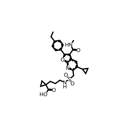 CCc1ccc(-c2oc3nc(CS(=O)(=O)NCCCC4(C(=O)O)CC4)c(C4CC4)cc3c2C(=O)NC)cc1